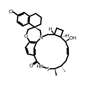 C[C@H]1C/C=C\[C@H](O)[C@@H]2CC[C@H]2CN2C[C@@]3(CCCc4cc(Cl)ccc43)COc3ccc(cc32)C(=O)NS[C@@H]1C